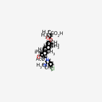 CC(=O)O[C@H](CN(CCN(C)C)Cc1ccc(Cl)cc1)[C@@]12CC[C@]3(C)[C@H](CC[C@@H]4[C@@]5(C)CC[C@H](OC(=O)CC(C)(C)C(=O)O)C(C)(C)[C@@H]5CC[C@]43C)C1=C(C(C)C)C(=O)C2